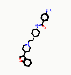 Nc1ccc(C(=O)N[C@H]2CC[C@H](CCN3CCC(c4coc5ccccc45)CC3)CC2)cc1